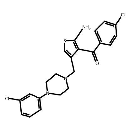 Nc1scc(CN2CCN(c3cccc(Cl)c3)CC2)c1C(=O)c1ccc(Cl)cc1